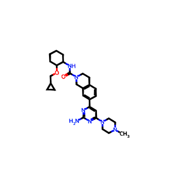 CN1CCN(c2cc(-c3ccc4c(c3)CN(C(=O)NC3CCCCC3OCC3CC3)CC4)nc(N)n2)CC1